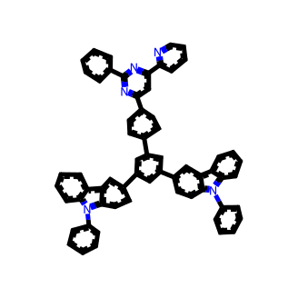 c1ccc(-c2nc(-c3ccc(-c4cc(-c5ccc6c(c5)c5ccccc5n6-c5ccccc5)cc(-c5ccc6c(c5)c5ccccc5n6-c5ccccc5)c4)cc3)cc(-c3ccccn3)n2)cc1